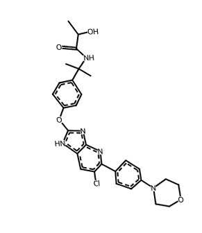 CC(O)C(=O)NC(C)(C)c1ccc(Oc2nc3nc(-c4ccc(N5CCOCC5)cc4)c(Cl)cc3[nH]2)cc1